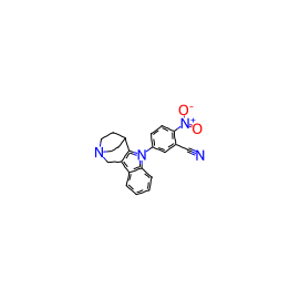 N#Cc1cc(-n2c3c(c4ccccc42)CN2CCC3CC2)ccc1[N+](=O)[O-]